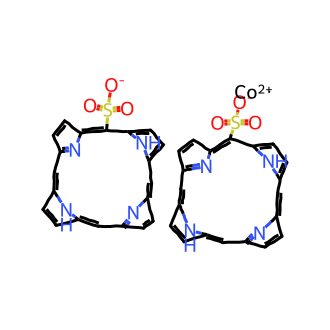 O=S(=O)([O-])c1c2nc(cc3ccc(cc4nc(cc5ccc1[nH]5)C=C4)[nH]3)C=C2.O=S(=O)([O-])c1c2nc(cc3ccc(cc4nc(cc5ccc1[nH]5)C=C4)[nH]3)C=C2.[Co+2]